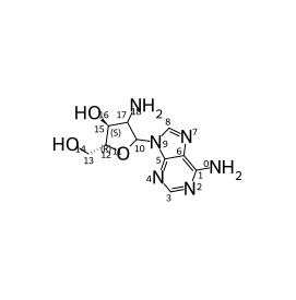 Nc1ncnc2c1ncn2C1O[C@H](CO)[C@@H](O)C1N